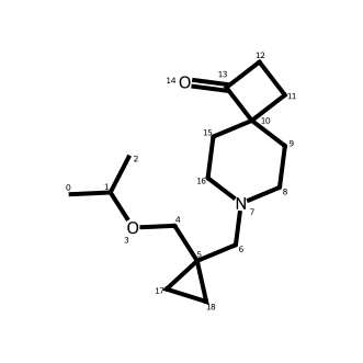 CC(C)OCC1(CN2CCC3(CCC3=O)CC2)CC1